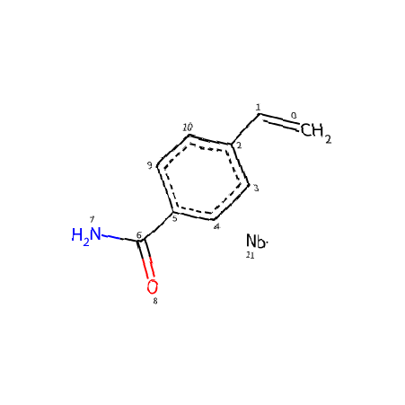 C=Cc1ccc(C(N)=O)cc1.[Nb]